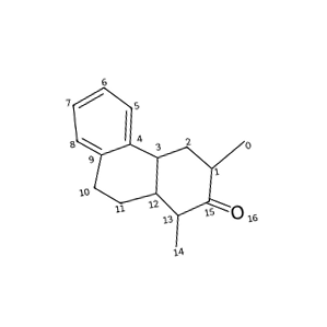 CC1CC2c3ccccc3CCC2C(C)C1=O